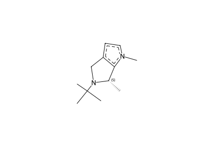 C[C@H]1c2c(ccn2C)CN1C(C)(C)C